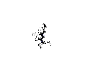 CCNC/C(N)=C/C(Cl)=C(\N)OC